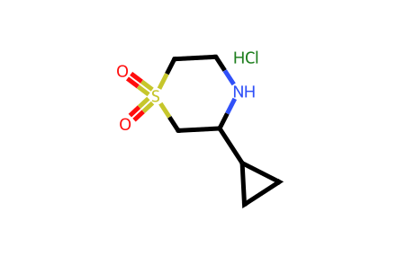 Cl.O=S1(=O)CCNC(C2CC2)C1